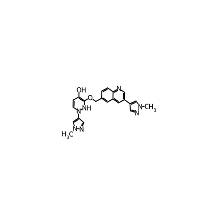 Cn1cc(-c2cnc3ccc(COC4=C(O)C=CN(c5cnn(C)c5)N4)cc3c2)cn1